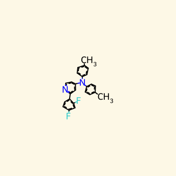 Cc1ccc(N(c2ccc(C)cc2)c2ccnc(-c3ccc(F)cc3F)c2)cc1